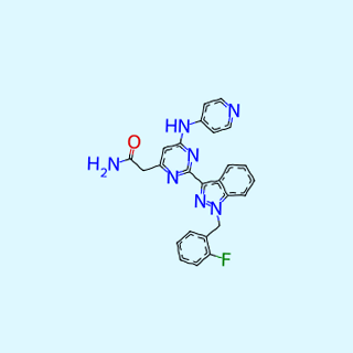 NC(=O)Cc1cc(Nc2ccncc2)nc(-c2nn(Cc3ccccc3F)c3ccccc23)n1